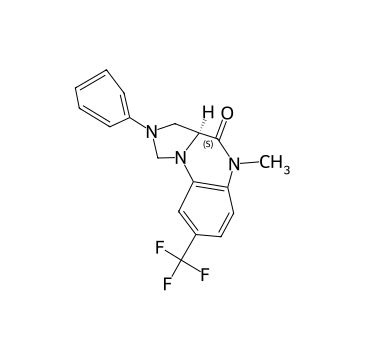 CN1C(=O)[C@@H]2CN(c3ccccc3)CN2c2cc(C(F)(F)F)ccc21